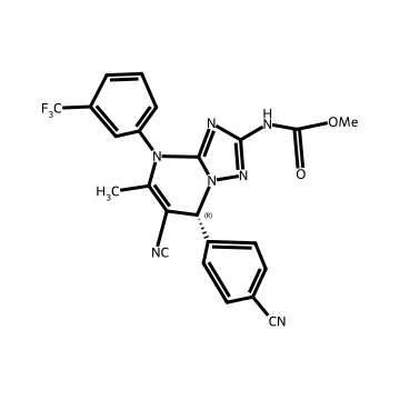 [C-]#[N+]C1=C(C)N(c2cccc(C(F)(F)F)c2)c2nc(NC(=O)OC)nn2[C@@H]1c1ccc(C#N)cc1